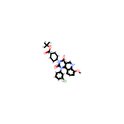 COc1cccc2c1ncc1c(=O)n([C@H]3CC[C@H](C(=O)OC(C)(C)C)CC3)c(=O)n(-c3cccc(Cl)c3)c12